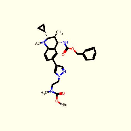 CC(=O)N1c2ccc(-c3cnn(CCN(C)C(=O)OC(C)(C)C)c3)cc2[C@@H](NC(=O)OCc2ccccc2)[C@H](C)[C@H]1C1CC1